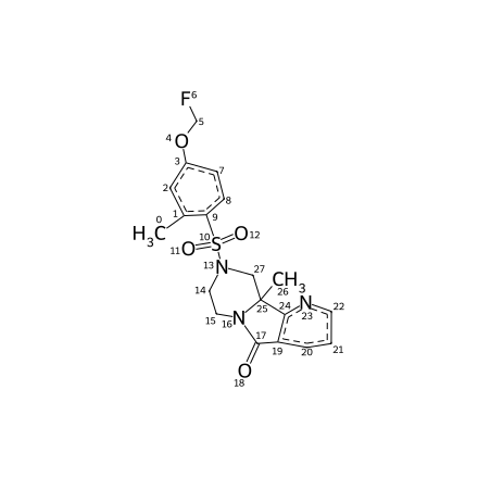 Cc1cc(OCF)ccc1S(=O)(=O)N1CCN2C(=O)c3cccnc3C2(C)C1